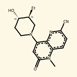 CC[C@H]1CN(c2cc(=O)n(C)c3ccc(C#N)nc23)CC[C@@H]1O